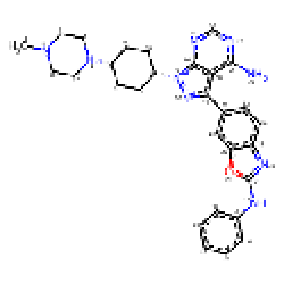 CN1CCN([C@H]2CC[C@@H](n3nc(-c4ccc5nc(Nc6ccccc6)oc5c4)c4c(N)ncnc43)CC2)CC1